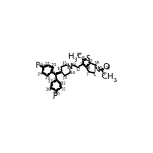 CC(=O)N1CCc2c(sc(C)c2CCN2CCC(=C(c3ccc(F)cc3)c3ccc(F)cc3)CC2)C1